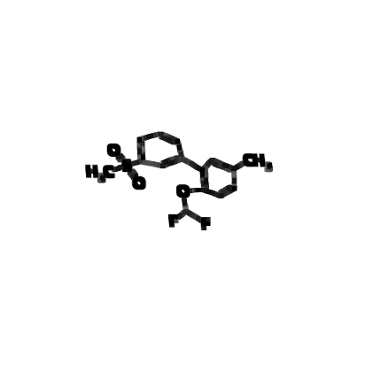 Cc1ccc(OC(F)F)c(-c2cccc(S(C)(=O)=O)c2)c1